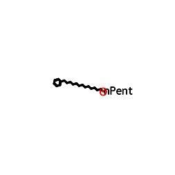 CCCCCOCCCCCCCCCCCCCc1ccccc1